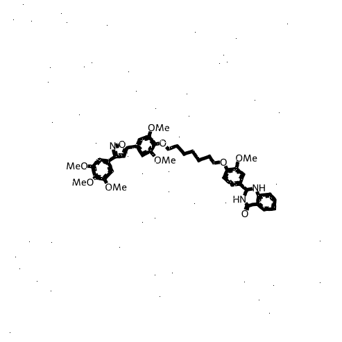 COc1cc(C2NC(=O)c3ccccc3N2)ccc1OCCCCCCCOc1c(OC)cc(-c2cc(-c3cc(OC)c(OC)c(OC)c3)no2)cc1OC